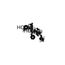 Cc1nc(CN2CCN([C@H](C(=O)N[C@@H](Cc3ccccc3)[C@@H](O)CN(CC(C)C)S(=O)(=O)c3ccc(O)c(F)c3)C(C)C)C2=O)cs1